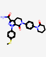 CSc1ccc(-n2nc(C(N)=O)c3c2C(=O)N(c2ccc(N4CCCCC4=O)cc2)CC3)cc1